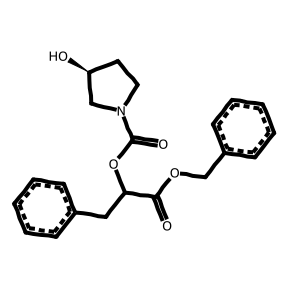 O=C(OCc1ccccc1)C(Cc1ccccc1)OC(=O)N1CC[C@H](O)C1